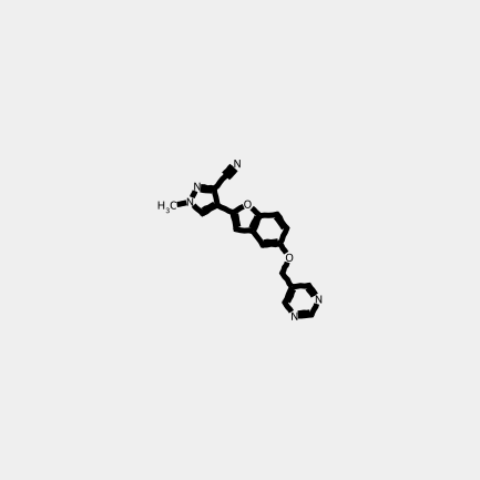 Cn1cc(-c2cc3cc(OCc4cncnc4)ccc3o2)c(C#N)n1